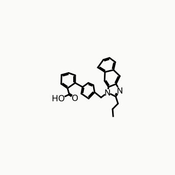 CCCc1nc2cc3ccccc3cc2n1Cc1ccc(-c2ccccc2C(=O)O)cc1